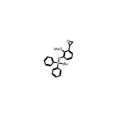 COc1c(O[Si](c2ccccc2)(c2ccccc2)C(C)(C)C)cccc1C1CO1